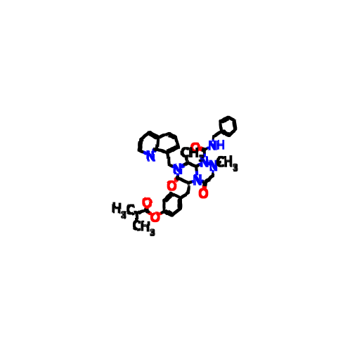 CC(C)C(=O)Oc1ccc(C[C@H]2C(=O)N(Cc3cccc4cccnc34)[C@@H](C)C3N2C(=O)CN(C)N3C(=O)NCc2ccccc2)cc1